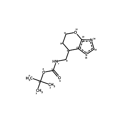 CC(C)(C)OC(=O)NCC1CCOc2ncsc21